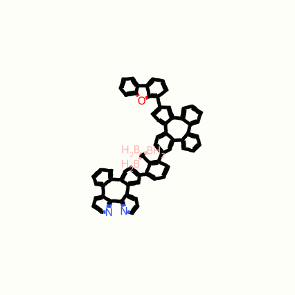 BC(B)(B)c1c(-c2ccc3c(c2)-c2ccccc2-c2ccccc2-c2cc(-c4cccc5c4oc4ccccc45)ccc2-3)cccc1-c1ccc2c(c1)-c1cccnc1-c1ncccc1-c1ccccc1-2